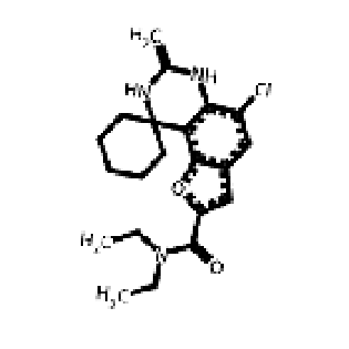 C=C1Nc2c(Cl)cc3cc(C(=O)N(CC)CC)oc3c2C2(CCCCC2)N1